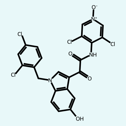 O=C(Nc1c(Cl)c[n+]([O-])cc1Cl)C(=O)c1cn(Cc2ccc(Cl)cc2Cl)c2ccc(O)cc12